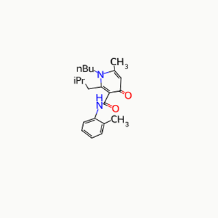 CCCCn1c(C)cc(=O)c(C(=O)Nc2ccccc2C)c1CC(C)C